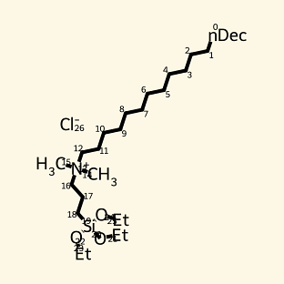 CCCCCCCCCCCCCCCCCCCCCC[N+](C)(C)CCC[Si](OCC)(OCC)OCC.[Cl-]